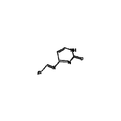 CCC=Nc1cc[nH]c(=O)n1